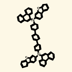 c1ccc2c(c1)cc(N(c1ccc(-c3ccc(-c4ccc(N(c5ccc6c(c5)sc5ccccc56)c5cc6ccccc6c6ccccc56)cc4)cc3)cc1)c1ccc3c(c1)sc1ccccc13)c1ccccc12